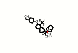 CC[C@H]1CC[C@@H](Oc2ccc3ccc([C@@H](C)N4C5CCC4CC(C(=O)O)C5)cc3c2C(F)(F)F)CC1